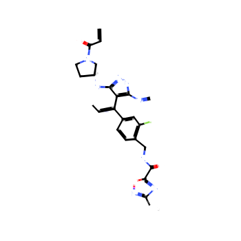 C=CC(=O)N1CC[C@@H](Nc2n[nH]c(N=C)c2/C(=C\C)c2ccc(CNC(=O)c3nc(C(C)(C)C)no3)c(F)c2)C1